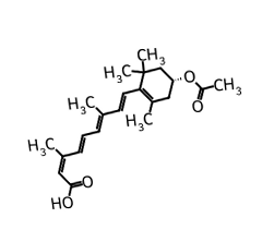 CC(=O)O[C@@H]1CC(C)=C(/C=C/C(C)=C/C=C/C(C)=C\C(=O)O)C(C)(C)C1